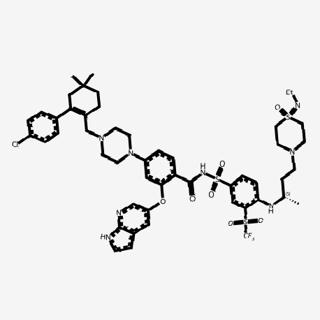 CCN=S1(=O)CCN(CC[C@H](C)Nc2ccc(S(=O)(=O)NC(=O)c3ccc(N4CCN(CC5=C(c6ccc(Cl)cc6)CC(C)(C)CC5)CC4)cc3Oc3cnc4[nH]ccc4c3)cc2S(=O)(=O)C(F)(F)F)CC1